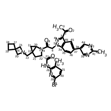 CC(=O)c1nn(CC(=O)N2C3CC3(CN3CC4(CCC4)C3)C[C@H]2C(=O)Nc2nc(Br)ccc2C)c2ccc(-c3cnc(C)nc3)cc12